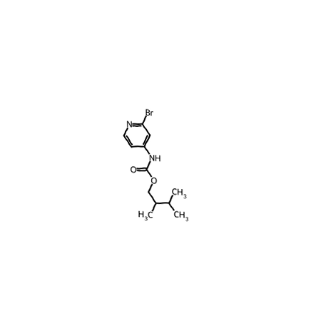 CC(C)C(C)COC(=O)Nc1ccnc(Br)c1